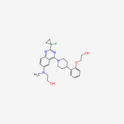 CN(CCO)c1ccc2nc(C3(F)CC3)nc(N3CCC(c4ccccc4OCCO)CC3)c2c1